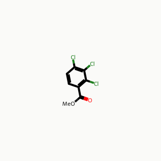 COC(=O)c1ccc(Cl)c(Cl)c1Cl